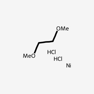 COCCOC.Cl.Cl.[Ni]